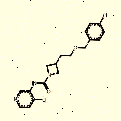 O=C(Nc1cnccc1Cl)N1CC(CCOCc2ccc(Cl)cc2)C1